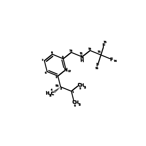 CC(C)[C@H](C)c1cccc(CNCC(F)(F)F)n1